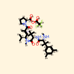 CN[C@H](C(=O)N[C@H](C(=O)N(C)[C@H](/C=C(\C)C(=O)N1CCC[C@H]1C(=O)OC(=O)C(F)(F)F)C(C)C)C(C)(C)C)C(C)(C)c1cc(C)cc(C)c1